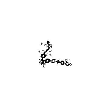 Cc1cc(-c2ncnc3[nH]c4cc(N5CCN(C6CC(c7ccc([C@@H]8CCC(=O)NC8=O)cc7)C6)CC5)ccc4c23)ccc1[C@@H](C)CCC(=O)c1nc(C2(C)CC2)no1